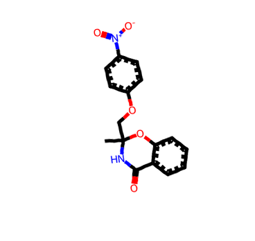 CC1(COc2ccc([N+](=O)[O-])cc2)NC(=O)c2ccccc2O1